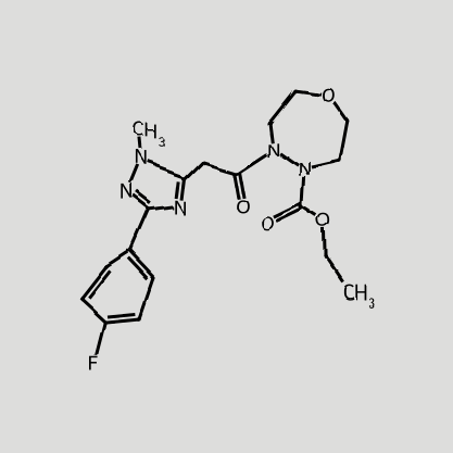 CCOC(=O)N1CCOCCN1C(=O)Cc1nc(-c2ccc(F)cc2)nn1C